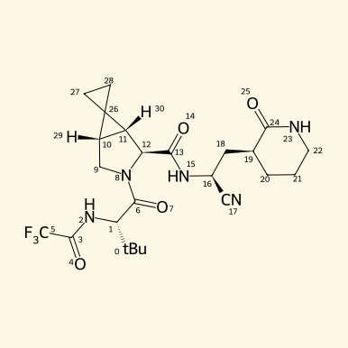 CC(C)(C)[C@H](NC(=O)C(F)(F)F)C(=O)N1C[C@H]2[C@@H]([C@H]1C(=O)N[C@H](C#N)C[C@@H]1CCCNC1=O)C21CC1